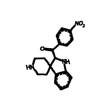 O=C(c1ccc([N+](=O)[O-])cc1)C1Nc2ccccc2C12CCNCC2